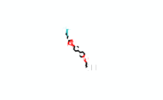 CCCCO[C@H]1CC[C@H]([C@H]2CC[C@H]([C@H]3OC[C@H](CCCC(F)(F)F)CO3)CC2)CC1